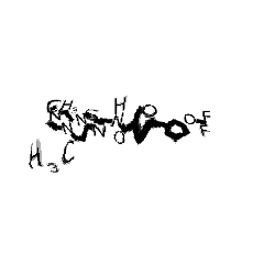 CC(Cc1nsc(NC(=O)c2coc(-c3cccc(OC(F)F)c3)c2)n1)N1CCN(C)CC1